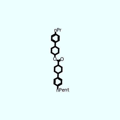 CCCCCc1ccc(C2CCC(C(=O)OC3CCC(c4ccc(CCC)cc4)CC3)CC2)cc1